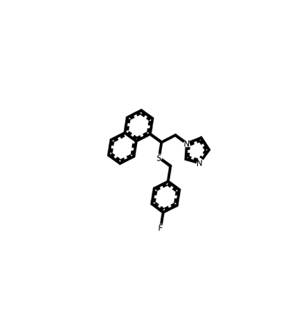 Fc1ccc(CSC(Cn2ccnc2)c2cccc3ccccc23)cc1